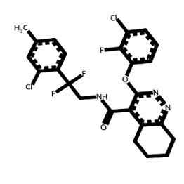 Cc1ccc(C(F)(F)CNC(=O)c2c(Oc3cccc(Cl)c3F)nnc3c2CCCC3)c(Cl)c1